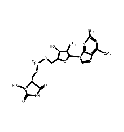 COc1nc(N)nc2c1ncn2C1OC(CO[PH](=O)SC[C@H]2C(=O)NC(=O)N2C)[C@@H](O)C1C